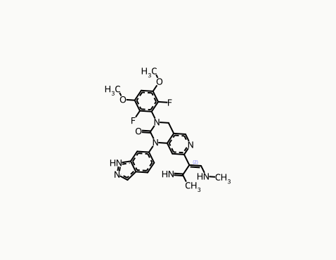 CN/C=C(\C(C)=N)c1cc2c(cn1)CN(c1c(F)c(OC)cc(OC)c1F)C(=O)N2c1ccc2cn[nH]c2c1